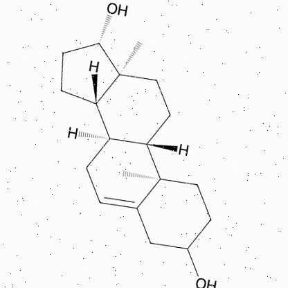 C[C@]12CC[C@H]3[C@@H](CC=C4CC(O)CC[C@@]43C)[C@@H]1CC[C@@H]2O